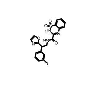 O=C(NCC(c1cccc(I)c1)c1ncco1)C1=Nc2ccccc2S(=O)(=O)N1